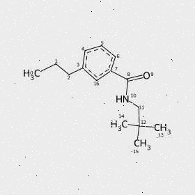 CCCc1cccc(C(=O)NCC(C)(C)C)c1